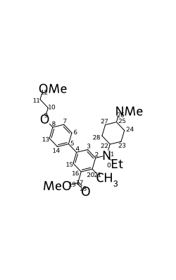 CCN(c1cc(-c2ccc(OCCOC)cc2)cc(C(=O)OC)c1C)C1CCC(NC)CC1